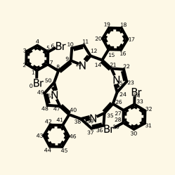 Brc1cccc(Br)c1C1=C2C=CC(=N2)C(c2ccccc2)=C2C=CC(=N2)C(c2c(Br)cccc2Br)=C2C=CC(=N2)C(c2ccccc2)=C2C=CC1=N2